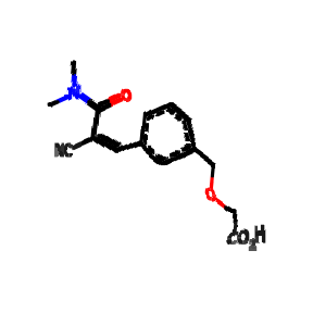 CN(C)C(=O)C(C#N)=Cc1cccc(COCC(=O)O)c1